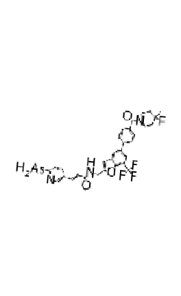 CC1(F)CCN(C(=O)c2ccc(-c3cc(C(F)(F)F)c4oc(CNC(=O)C=Cc5ccc([AsH2])nc5)cc4c3)cc2)CC1